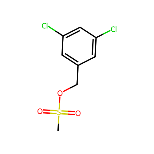 CS(=O)(=O)OCc1cc(Cl)cc(Cl)c1